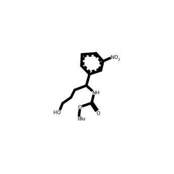 CC(C)(C)OC(=O)NC(CCCO)c1cccc([N+](=O)[O-])c1